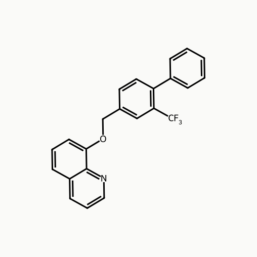 FC(F)(F)c1cc(COc2cccc3cccnc23)ccc1-c1ccccc1